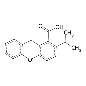 CC(C)c1ccc2c(c1C(=O)O)Cc1ccccc1O2